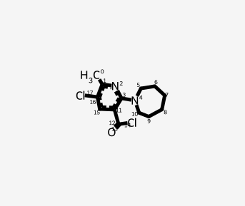 Cc1nc(N2CCCCCC2)c(C(=O)Cl)cc1Cl